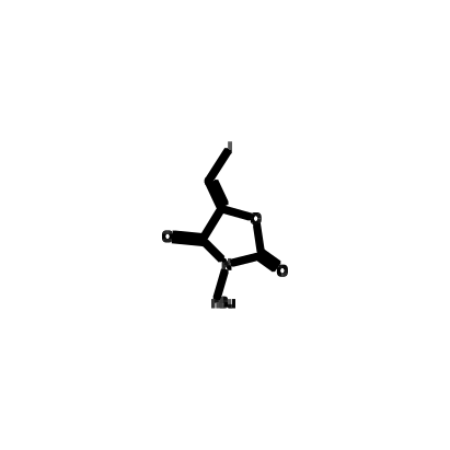 CCCCN1C(=O)OC(=CI)C1=O